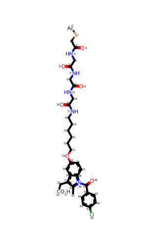 CC(=O)SCC(=O)NCC(=O)NCC(=O)NCC(=O)NCCCCCCOc1ccc2c(c1)c(CC(=O)O)c(C)n2C(=O)c1ccc(Cl)cc1